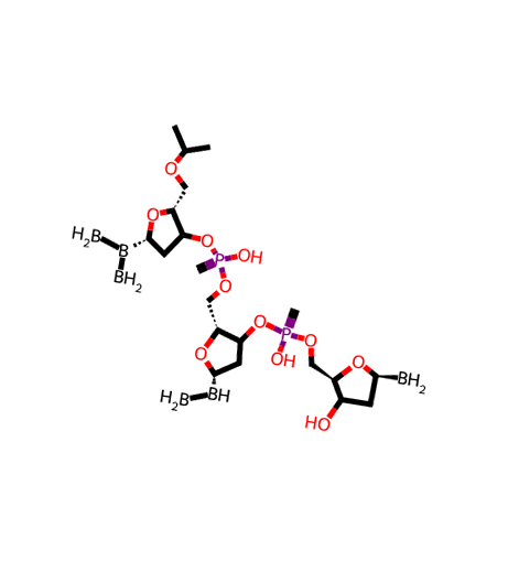 BB[C@H]1CC(OP(=C)(O)OC[C@H]2O[C@@H](B)CC2O)[C@@H](COP(=C)(O)OC2C[C@H](B(B)B)O[C@@H]2COC(C)C)O1